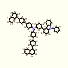 c1ccc(-n2c3ccccc3c3c(-c4cccc(N(c5ccc(-c6ccc(-c7cccc8ccccc78)cc6)cc5)c5ccc(-c6ccc(-c7cccc8ccccc78)cc6)cc5)c4)cccc32)cc1